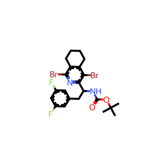 CC(C)(C)OC(=O)NC(Cc1cc(F)cc(F)c1)c1nc(Br)c2c(c1Br)CCCC2